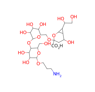 NCCCOC1OC(CO)C(OC2OC(COC3(C(=O)O)CC(O)C4C(O3)C4C(O)CO)C(O)C(O)C2O)C(O)C1O